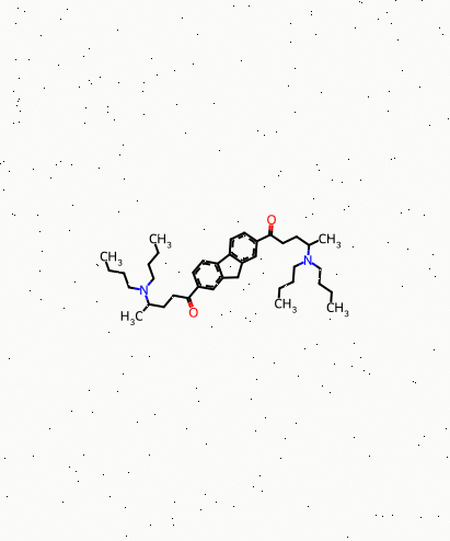 CCCCN(CCCC)C(C)CCC(=O)c1ccc2c(c1)Cc1cc(C(=O)CCC(C)N(CCCC)CCCC)ccc1-2